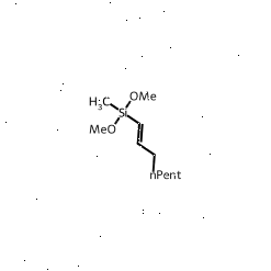 CCCCCC/C=C/[Si](C)(OC)OC